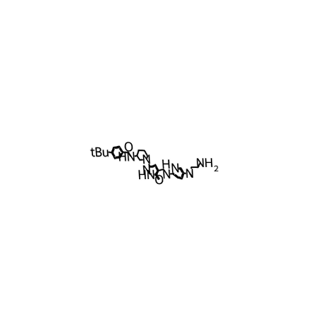 CN(CCN)c1ccc(NCc2cc(N3CCCC(NC(=O)c4ccc(C(C)(C)C)cc4)C3)n[nH]c2=O)nc1